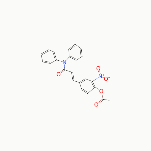 CC(=O)Oc1ccc(/C=C/C(=O)N(c2ccccc2)c2ccccc2)cc1[N+](=O)[O-]